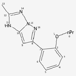 CCCOc1ccccc1-c1cc2[nH]c(C)nn2n1